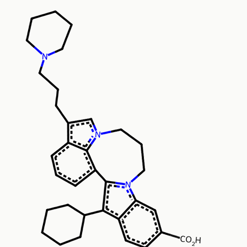 O=C(O)c1ccc2c(C3CCCCC3)c3n(c2c1)CCCn1cc(CCCN2CCCCC2)c2cccc-3c21